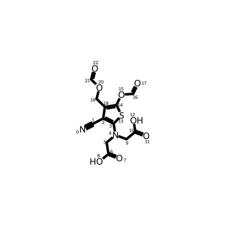 N#Cc1c(N(CC(=O)O)CC(=O)O)sc(OC=O)c1COC=O